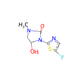 CN1CC(O)N(c2ncc(F)s2)C1=O